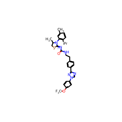 Cc1ccc(C(C)C)c(N2/C(=N/C(=O)NCCc3ccc(-c4ncn(-c5ccc(OC(F)(F)F)cc5)n4)cc3)SCC2C)c1